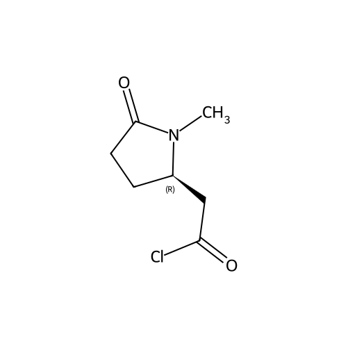 CN1C(=O)CC[C@@H]1CC(=O)Cl